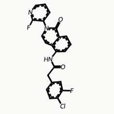 O=C(Cc1ccc(Cl)c(F)c1)Nc1cccc2c(=O)n(-c3cccnc3F)ccc12